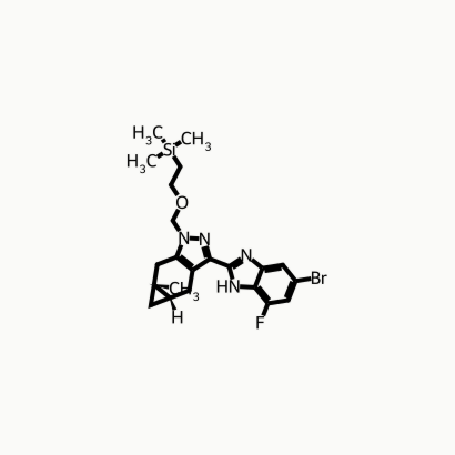 C[C@@]12Cc3c(c(-c4nc5cc(Br)cc(F)c5[nH]4)nn3COCC[Si](C)(C)C)C[C@@H]1C2